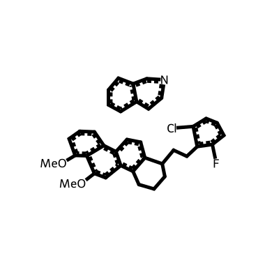 COc1cccc2c1c(OC)cc1c3c(ccc12)C(CCc1c(F)cccc1Cl)CCC3.c1ccc2cnccc2c1